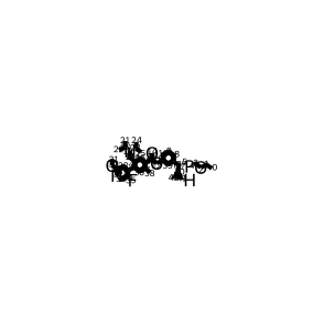 CCOCPC[C@@H](c1cccc(OC(=O)c2cc(CN(C(C)C)C(C)C)c(-c3cc(OC)ncc3F)cc2C)c1)C1CC1